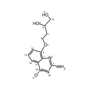 Nc1nc2c(OCCC(O)CO)cccc2[n+]([O-])n1